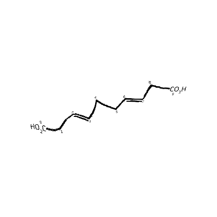 O=C(O)C/C=C/CC/C=C/CC(=O)O